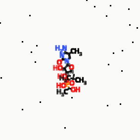 Cc1cn([C@@H]2O[C@H](CC(C)(C)OP(=O)(O)C(C)O)[C@@H](O)[C@H]2O)c(=O)nc1N